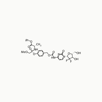 COCP(=O)(N[C@@H](C)C(=O)OC(C)C)Oc1ccc(COC(=O)Nc2ccn([C@@H]3O[C@H](CO)C(O)C3(F)F)c(=O)n2)cc1